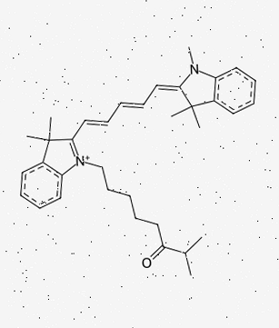 CC(C)C(=O)CCCCC[N+]1=C(/C=C/C=C/C=C2/N(C)c3ccccc3C2(C)C)C(C)(C)c2ccccc21